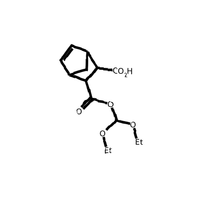 CCOC(OCC)OC(=O)C1C2C=CC(C2)C1C(=O)O